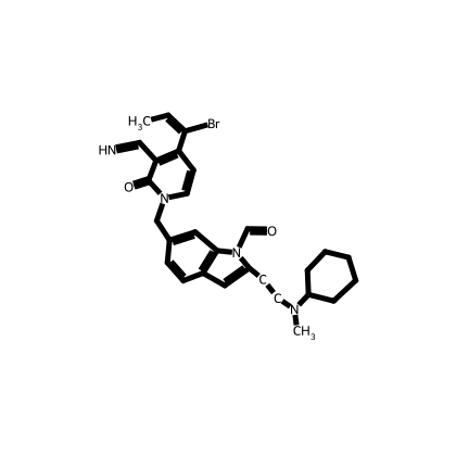 C/C=C(/Br)c1ccn(Cc2ccc3cc(CCN(C)C4CCCCC4)n(C=O)c3c2)c(=O)c1C=N